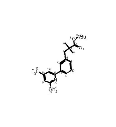 CC(C)(C)OC(=O)C(C)(C)Cc1cccc(-c2cc(C(F)(F)F)cc(N)n2)c1